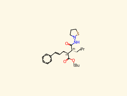 CC(C)C[C@@H](C(=O)NN1CCCS1)[C@H](CC=Cc1ccccc1)C(=O)OC(C)(C)C